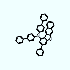 c1ccc(-c2ccc(N(c3ccc(-c4ccccc4)cc3)c3cc(-c4ccccc4)cc4oc5cc6ccccc6cc5c34)cc2)cc1